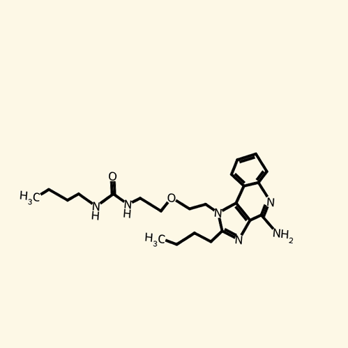 CCCCNC(=O)NCCOCCn1c(CCCC)nc2c(N)nc3ccccc3c21